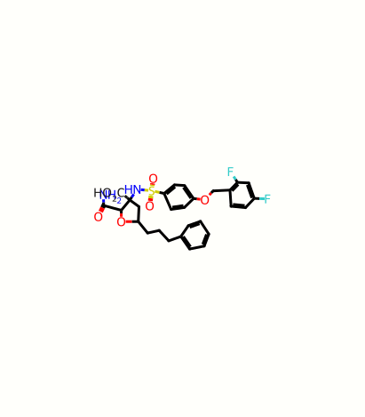 NC(=O)C1OC(CCCc2ccccc2)CC1(NS(=O)(=O)c1ccc(OCc2ccc(F)cc2F)cc1)C(=O)O